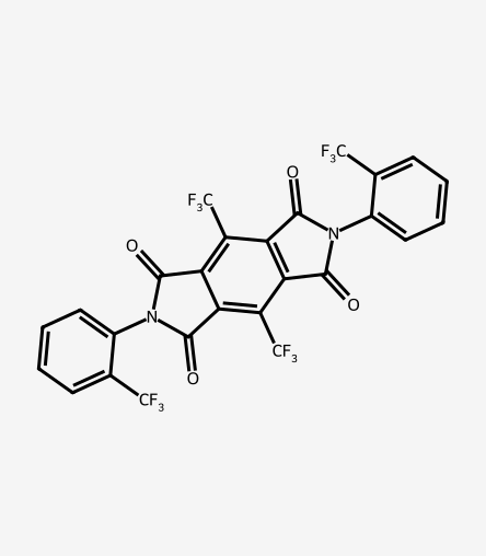 O=c1c2c(C(F)(F)F)c3c(=O)n(-c4ccccc4C(F)(F)F)c(=O)c3c(C(F)(F)F)c2c(=O)n1-c1ccccc1C(F)(F)F